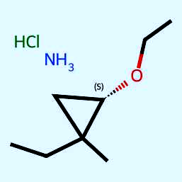 CCO[C@H]1CC1(C)CC.Cl.N